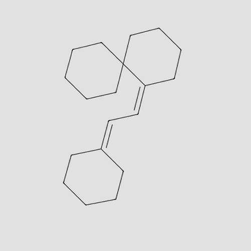 C(/C=C1/CCCCC12CCCCC2)=C1CCCCC1